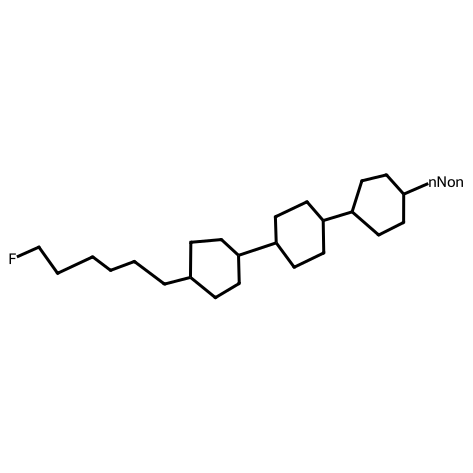 CCCCCCCCCC1CCC(C2CCC(C3CCC(CCCCCCF)CC3)CC2)CC1